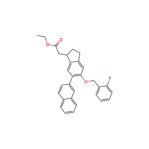 CCOC(=O)CC1CCc2cc(OCc3ccccc3F)c(-c3ccc4ccccc4c3)cc21